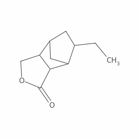 CCC1CC2CC1C1C(=O)OCC21